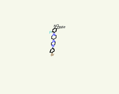 COc1cc(N2CCC(N3CCN(c4ccc(Br)cc4)CC3)CC2)c(F)cc1[N+](=O)[O-]